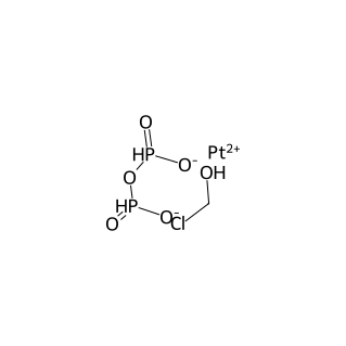 O=[PH]([O-])O[PH](=O)[O-].OCCl.[Pt+2]